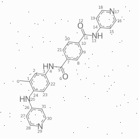 Cc1cc(NC(=O)c2ccc(C(=O)Nc3ccncc3)cc2)ccc1Nc1ccncc1